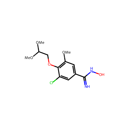 COc1cc(C(=N)NO)cc(Cl)c1OCC(OC)OC